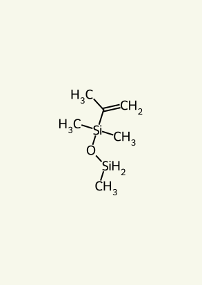 C=C(C)[Si](C)(C)O[SiH2]C